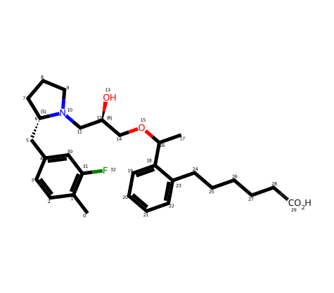 Cc1ccc(C[C@@H]2CCCN2C[C@@H](O)COC(C)c2ccccc2CCCCCC(=O)O)cc1F